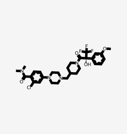 COc1cccc([C@@](O)(C(=O)N2CCC(CN3CCN(c4ccc(C(=O)N(C)C)c(Cl)c4)CC3)CC2)C(F)(F)F)c1